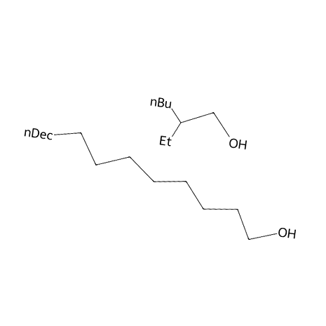 CCCCC(CC)CO.CCCCCCCCCCCCCCCCCCO